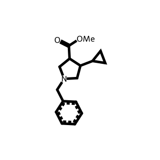 COC(=O)C1CN(Cc2ccccc2)CC1C1CC1